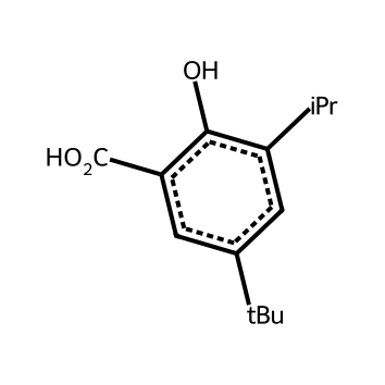 CC(C)c1cc(C(C)(C)C)cc(C(=O)O)c1O